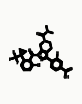 CN(C)C(=O)N1CCc2c(-c3ccc(C(=O)O)cc3F)nn(C(=O)c3c(Cl)cccc3C3(C(F)(F)F)CC3)c2C1